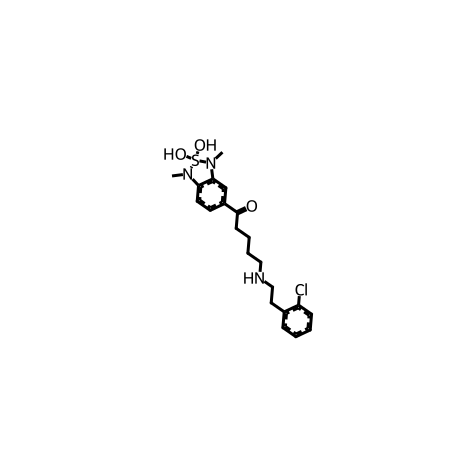 CN1c2ccc(C(=O)CCCCNCCc3ccccc3Cl)cc2N(C)S1(O)O